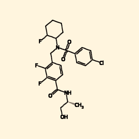 C[C@H](CO)NC(=O)c1ccc(CN(C2CCCCC2F)S(=O)(=O)c2ccc(Cl)cc2)c(F)c1F